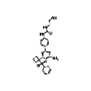 Nc1cc(C2(S(=O)(=O)c3ccccc3)CCC2)nc(-c2ccc(NC(=O)NCCO)cc2)n1